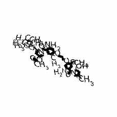 COc1cc(C(=O)N2C[C@H](C)C[C@H]2CO)c(N)cc1OCCCOc1cc(N)c(C(=O)N2C[C@H](OC(C)=O)C[C@H]2CO[Si](C)(C)C(C)(C)C)cc1C